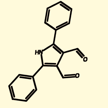 O=Cc1c(-c2ccccc2)[nH]c(-c2ccccc2)c1C=O